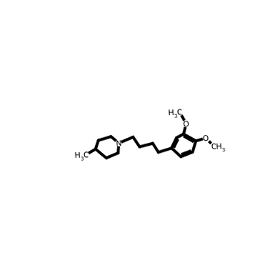 COc1ccc(CCCCN2CCC(C)CC2)cc1OC